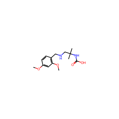 COc1ccc(CNCC(C)(C)NC(=O)O)c(OC)c1